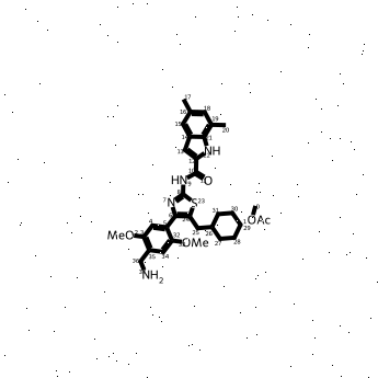 COC(C)=O.COc1cc(-c2nc(NC(=O)c3cc4cc(C)cc(C)c4[nH]3)sc2CC2CCCCC2)c(OC)cc1CN